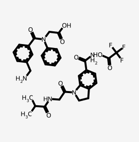 CC(C)C(=O)NCC(=O)N1CCc2ccc(C(N)=O)cc21.NCc1cccc(C(=O)N(CC(=O)O)c2ccccc2)c1.O=C(O)C(F)(F)F